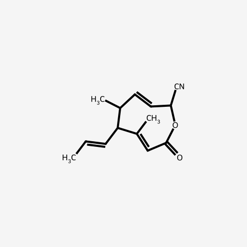 C/C=C/C1/C(C)=C/C(=O)OC(C#N)/C=C/C1C